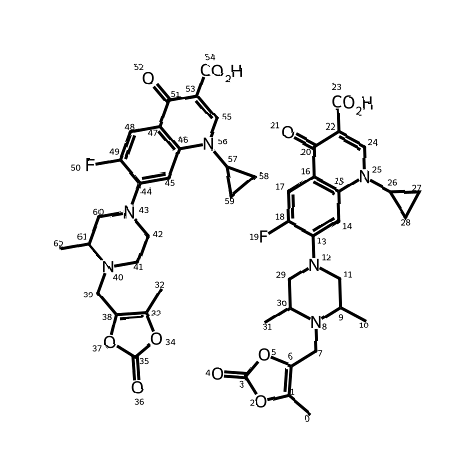 Cc1oc(=O)oc1CN1C(C)CN(c2cc3c(cc2F)c(=O)c(C(=O)O)cn3C2CC2)CC1C.Cc1oc(=O)oc1CN1CCN(c2cc3c(cc2F)c(=O)c(C(=O)O)cn3C2CC2)CC1C